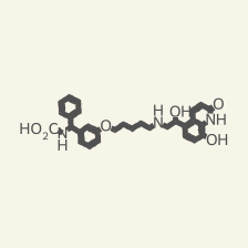 O=C(O)NC(c1ccccc1)c1cccc(OCCCCCNCC(O)c2ccc(O)c3[nH]c(=O)ccc23)c1